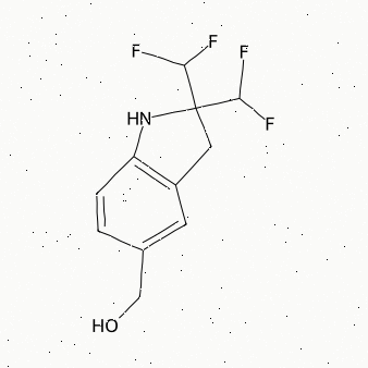 OCc1ccc2c(c1)CC(C(F)F)(C(F)F)N2